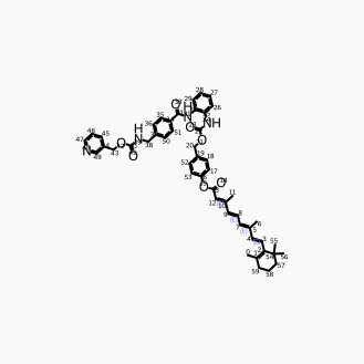 CC1=C(/C=C/C(C)=C/C=C/C(C)=C/C(=O)Oc2ccc(COC(=O)Nc3ccccc3NC(=O)c3ccc(CNC(=O)OCc4cccnc4)cc3)cc2)C(C)(C)CCC1